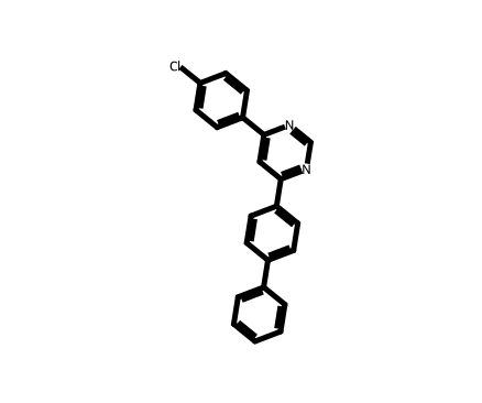 Clc1ccc(-c2cc(-c3ccc(-c4ccccc4)cc3)ncn2)cc1